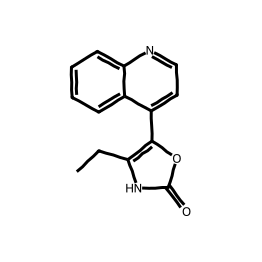 CCc1[nH]c(=O)oc1-c1ccnc2ccccc12